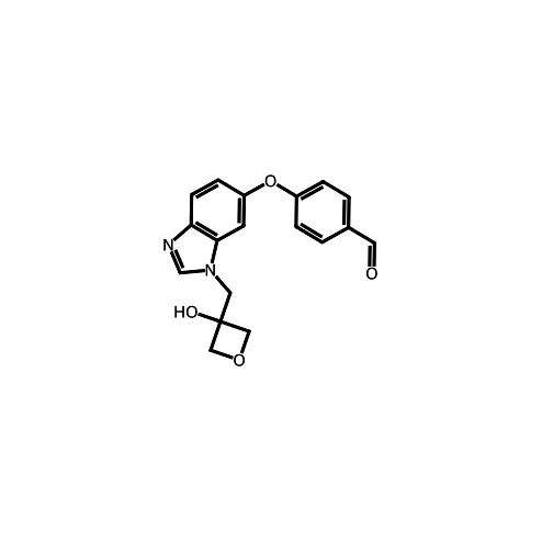 O=Cc1ccc(Oc2ccc3ncn(CC4(O)COC4)c3c2)cc1